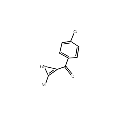 O=C(C1=C(Br)N1)c1ccc(Cl)cc1